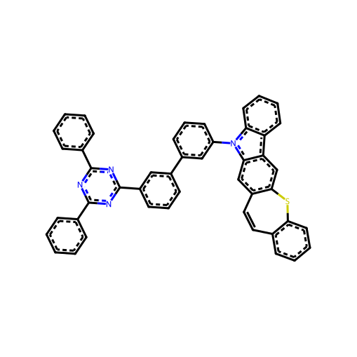 C1=Cc2cc3c(cc2Sc2ccccc21)c1ccccc1n3-c1cccc(-c2cccc(-c3nc(-c4ccccc4)nc(-c4ccccc4)n3)c2)c1